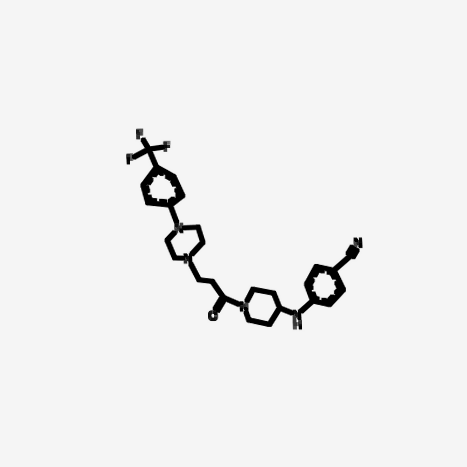 N#Cc1ccc(NC2CCN(C(=O)CCN3CCN(c4ccc(C(F)(F)F)cc4)CC3)CC2)cc1